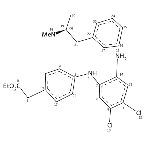 CCOC(=O)Cc1ccc(Nc2cc(Cl)c(Cl)cc2N)cc1.CN[C@@H](C)Cc1ccccc1